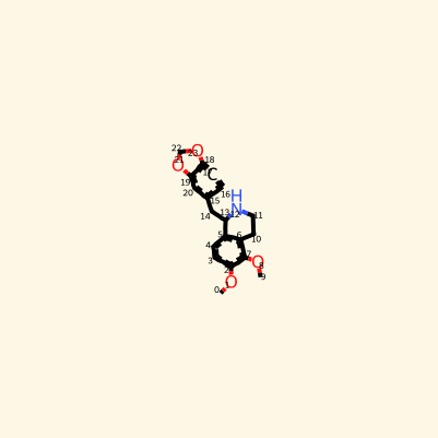 COc1ccc2c(c1OC)CCNC2Cc1ccc2c(c1)OCO2